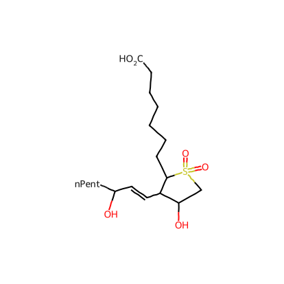 CCCCCC(O)/C=C/C1C(O)CS(=O)(=O)C1CCCCCCC(=O)O